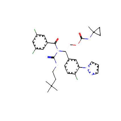 CC(C)(C)CCNC(=N)N(C(=O)c1cc(F)cc(F)c1)[C@H](COC(=O)NC1(C)CC1)c1ccc(Cl)c(-n2cccn2)c1